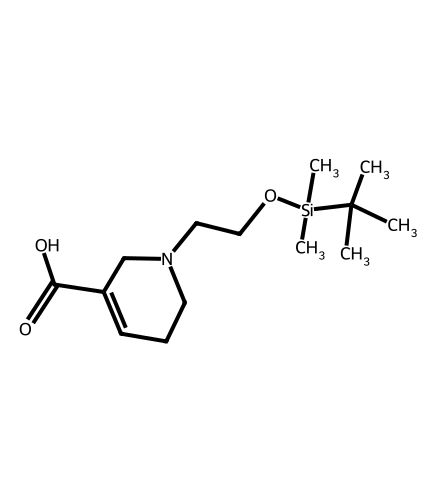 CC(C)(C)[Si](C)(C)OCCN1CCC=C(C(=O)O)C1